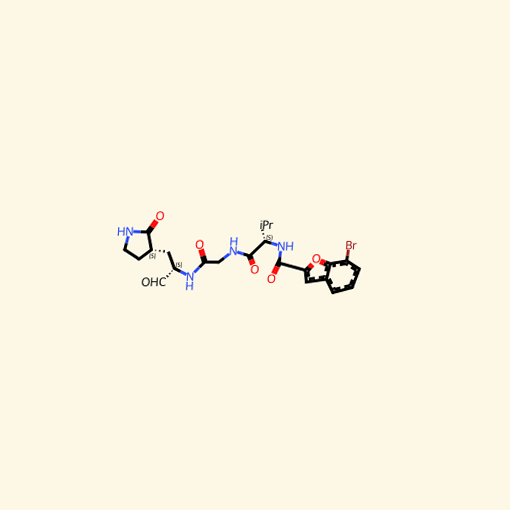 CC(C)[C@H](NC(=O)c1cc2cccc(Br)c2o1)C(=O)NCC(=O)N[C@H](C=O)C[C@@H]1CCNC1=O